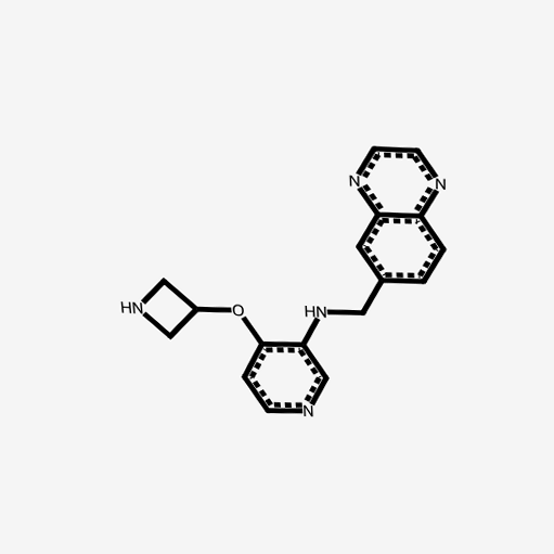 c1cc(OC2CNC2)c(NCc2ccc3nccnc3c2)cn1